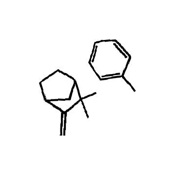 C=C1C2CCC(C2)C1(C)C.Cc1ccccc1